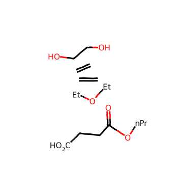 C=C.C=C.CCCOC(=O)CCC(=O)O.CCOCC.OCCO